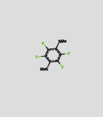 CSc1c(F)c(F)c(SC)c(F)c1F